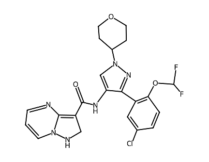 O=C(Nc1cn(C2CCOCC2)nc1-c1cc(Cl)ccc1OC(F)F)C1=C2N=CC=CN2NC1